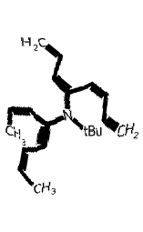 C=C/C=C\C(=C/C=C)N(C(/C=C\C)=C/C=C\C)C(C)(C)C